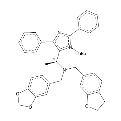 CCCCn1c(-c2ccccc2)nc(-c2ccccc2)c1[C@H](C)N(Cc1ccc2c(c1)OCC2)Cc1ccc2c(c1)OCO2